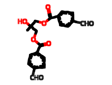 CC(O)(COC(=O)c1ccc(C=O)cc1)COC(=O)c1ccc(C=O)cc1